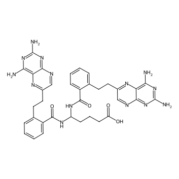 Nc1nc(N)c2nc(CCc3ccccc3C(=O)NC(CCCC(=O)O)NC(=O)c3ccccc3CCc3cnc4nc(N)nc(N)c4n3)cnc2n1